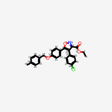 CCOC(=O)c1noc(-c2ccc(OCc3ccc(C)cc3)cc2)c1-c1ccc(Cl)cc1